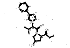 CCC(=O)C1CC(O)CN1C(=O)C(C(C)C)n1cc(-c2cccnc2)nn1